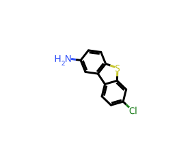 Nc1ccc2sc3cc(Cl)ccc3c2c1